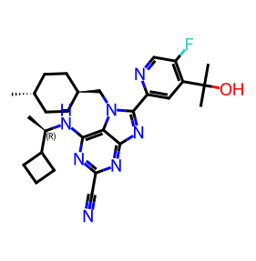 C[C@@H](Nc1nc(C#N)nc2nc(-c3cc(C(C)(C)O)c(F)cn3)n(C[C@H]3CC[C@H](C)CC3)c12)C1CCC1